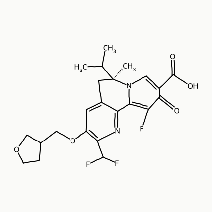 CC(C)[C@]1(C)Cc2cc(OCC3CCOC3)c(C(F)F)nc2-c2c(F)c(=O)c(C(=O)O)cn21